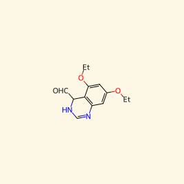 CCOc1cc2c(c(OCC)c1)C(C=O)NC=N2